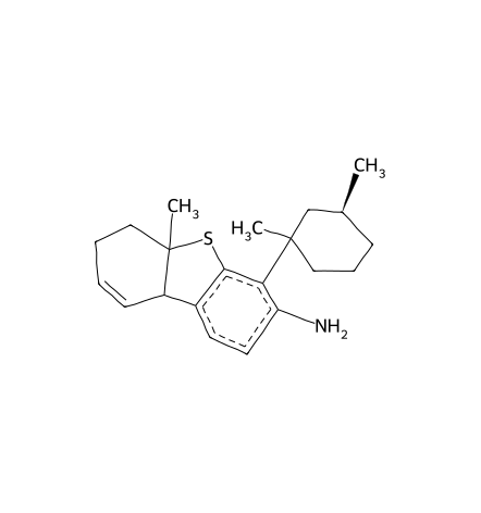 C[C@H]1CCCC(C)(c2c(N)ccc3c2SC2(C)CCC=CC32)C1